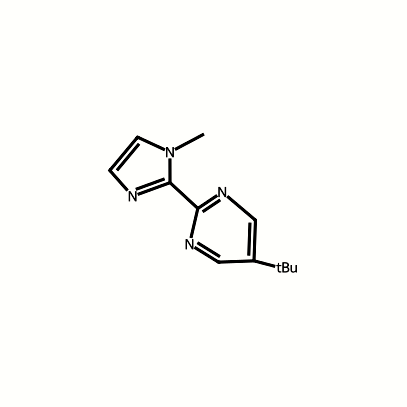 Cn1ccnc1-c1ncc(C(C)(C)C)cn1